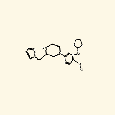 CCOc1ccc(N2CCNC(Cn3cccn3)C2)cc1OC1CCCC1